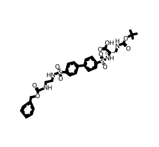 CC(C)(C)OC(=O)NC[C@H](NS(=O)(=O)c1ccc(-c2ccc(S(=O)(=O)NCCNC(=O)OCc3ccccc3)cc2)cc1)C(=O)O